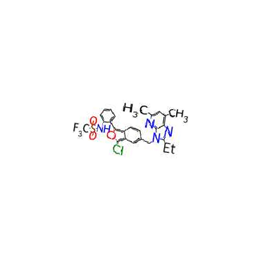 CCc1nc2c(C)cc(C)nc2n1Cc1ccc2c(-c3ccccc3NS(=O)(=O)C(F)(F)F)oc(Cl)c2c1